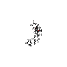 CC12CC3CC(NC(=O)NC4CCN(Cc5ccccc5)CC4)(CC(C1)c1ccccc13)C2